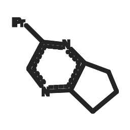 CC(C)c1cnc2c(n1)CCC2